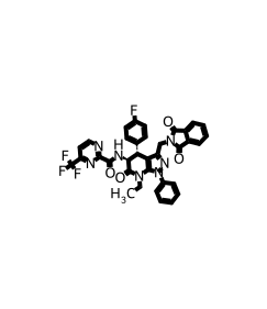 CCN1C(=O)[C@@H](NC(=O)c2nccc(C(F)(F)F)n2)[C@H](c2ccc(F)cc2)c2c(CN3C(=O)c4ccccc4C3=O)nn(-c3ccccc3)c21